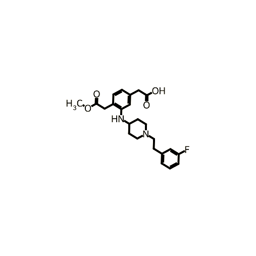 COC(=O)Cc1ccc(CC(=O)O)cc1NC1CCN(CCc2cccc(F)c2)CC1